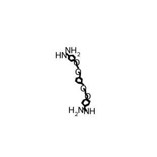 N=C(N)c1ccc(OCCOCc2cccc(COCCOc3ccc(C(=N)N)cc3)c2)cc1